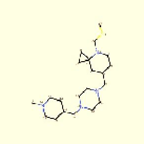 CSCN1CCC(CN2CCN(CC3CCN(C)CC3)CC2)CC12CC2